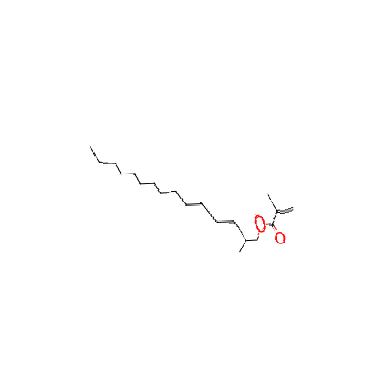 C=C(C)C(=O)OCC(C)CCCCCCCCCCCCC